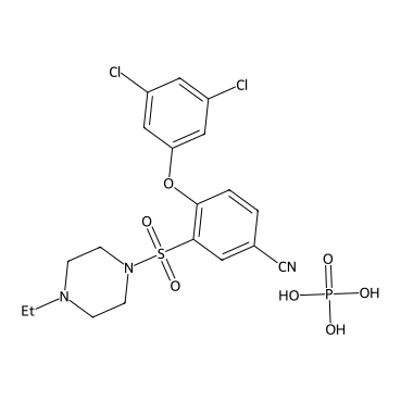 CCN1CCN(S(=O)(=O)c2cc(C#N)ccc2Oc2cc(Cl)cc(Cl)c2)CC1.O=P(O)(O)O